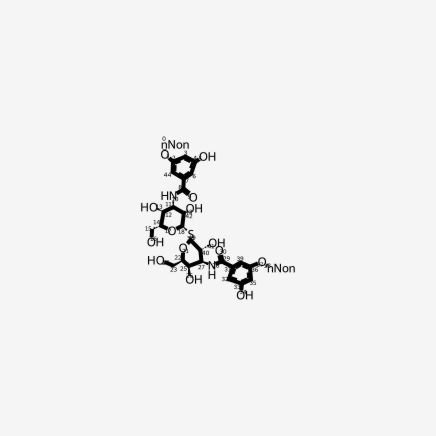 CCCCCCCCCOc1cc(O)cc(C(=O)N[C@H]2[C@@H](O)[C@@H](CO)O[C@@H](S[C@@H]3O[C@H](CO)[C@H](O)[C@H](NC(=O)c4cc(O)cc(OCCCCCCCCC)c4)[C@H]3O)[C@@H]2O)c1